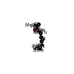 C=C(Nc1cc(-c2ccc3c(c2)OCc2cc(-c4cnc(C5CCCN5C(=O)[C@@H](NC(=O)OC)C(C)C)[nH]4)ccc2-3)ccc1N)[C@@H]1[C@H]2CC[C@H](C2)N1C(=O)[C@H](NC(=O)OC)c1ccccc1